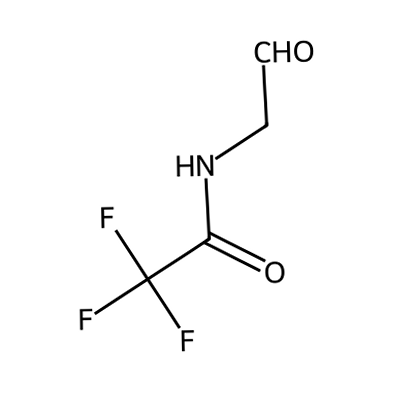 O=CCNC(=O)C(F)(F)F